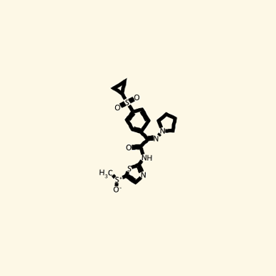 C[S+]([O-])c1cnc(NC(=O)/C(=N/N2CCCC2)c2ccc(S(=O)(=O)C3CC3)cc2)s1